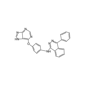 c1ccc(-c2nnc(Nc3ccc(Oc4ncnc5nc[nH]c45)cc3)c3ccccc23)cc1